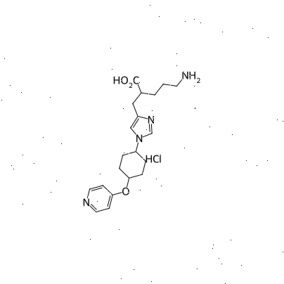 Cl.NCCCC(Cc1cn(C2CCC(Oc3ccncc3)CC2)cn1)C(=O)O